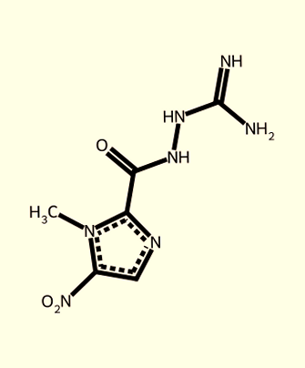 Cn1c([N+](=O)[O-])cnc1C(=O)NNC(=N)N